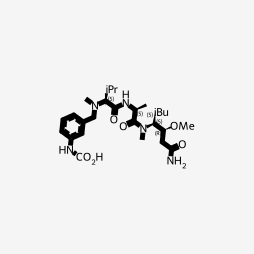 CC[C@H](C)[C@@H]([C@@H](CC(N)=O)OC)N(C)C(=O)[C@H](C)NC(=O)[C@H](C(C)C)N(C)Cc1cccc(NC(=O)O)c1